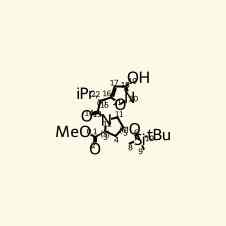 COC(=O)[C@@H]1C[C@@H](O[Si](C)(C)C(C)(C)C)CN1C(=O)[C@@H](c1cc(O)no1)C(C)C